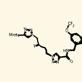 CNc1cn(CC(F)CCn2cc(C(=O)NCc3cccc(OC(F)(F)F)c3)nn2)nn1